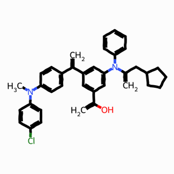 C=C(O)c1cc(C(=C)c2ccc(N(C)c3ccc(Cl)cc3)cc2)cc(N(C(=C)CC2CCCC2)c2ccccc2)c1